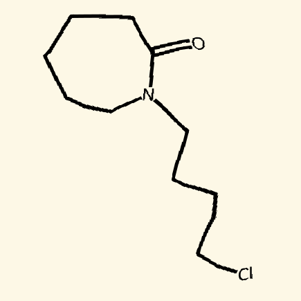 O=C1CCCCCN1CCCCCl